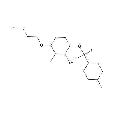 CCCCOC1CCC(OC(F)(F)C2CCC(C)CC2)C(S)C1C